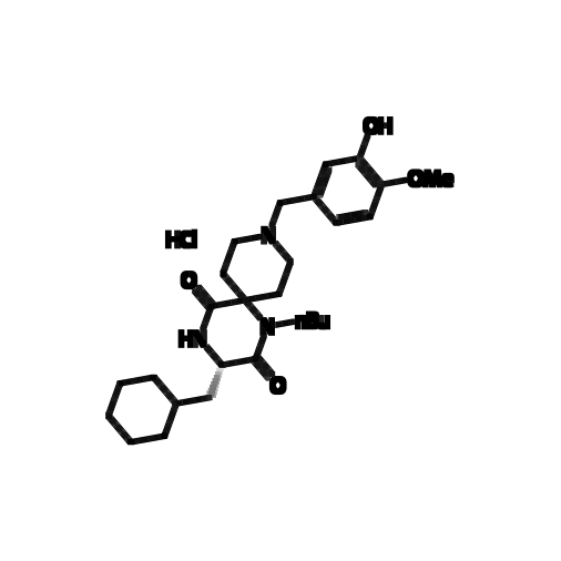 CCCCN1C(=O)[C@H](CC2CCCCC2)NC(=O)C12CCN(Cc1ccc(OC)c(O)c1)CC2.Cl